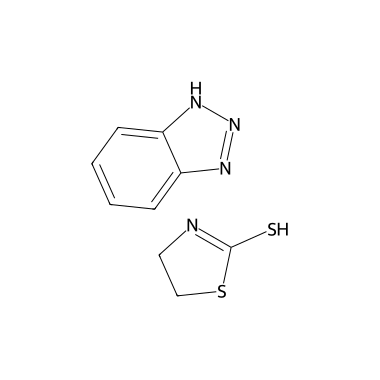 SC1=NCCS1.c1ccc2[nH]nnc2c1